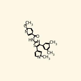 COc1ccc(C(=O)Nc2nc(-c3cc(C)cc(C)c3)c(-c3ccnc(C)c3)s2)cn1